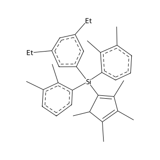 CCc1cc(CC)cc([Si](C2=C(C)C(C)=C(C)C2C)(c2cccc(C)c2C)c2cccc(C)c2C)c1